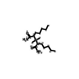 CCCCCN(C(N)=O)[Si](C)(C)N(CCCCC)C(N)=O